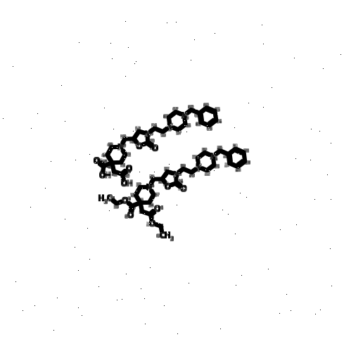 CCOC(=O)CC1(C(=O)OCC)CCN(CC2CN(CCN3CCN(Cc4ccccc4)CC3)C(=O)O2)CC1.O=C(O)CC1(C(=O)O)CCN(CC2CN(CCN3CCN(Cc4ccccc4)CC3)C(=O)O2)CC1